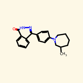 CC1CCCCN(c2ccc(-c3n[nH]c(=O)c4ccccc34)cc2)C1